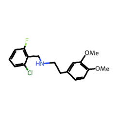 COc1ccc(CCNCc2c(F)cccc2Cl)cc1OC